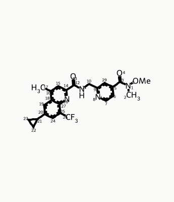 CON(C)C(=O)c1ccnc(CNC(=O)c2cc(C)c3cc(C4CC4)cc(C(F)(F)F)c3n2)c1